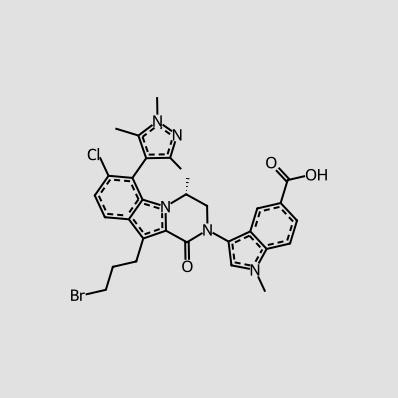 Cc1nn(C)c(C)c1-c1c(Cl)ccc2c(CCCBr)c3n(c12)[C@H](C)CN(c1cn(C)c2ccc(C(=O)O)cc12)C3=O